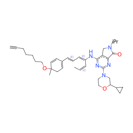 C#CCCCCCOC1(C)C=CC(/C=C/C=C(\C=C/C)Nc2nc(N3CCOC(C4CC4)C3)nc3c2CN(C(C)C)C3=O)=CC1